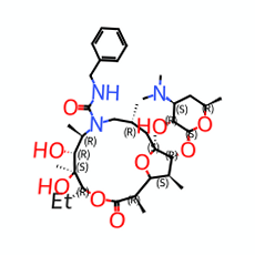 CC[C@H]1OC(=O)[C@H](C)C2O[C@@](C)(C[C@@H](C)CN(C(=O)NCc3ccccc3)[C@H](C)[C@@H](O)[C@]1(C)O)[C@H](O[C@@H]1O[C@H](C)C[C@H](N(C)C)[C@H]1O)[C@H]2C